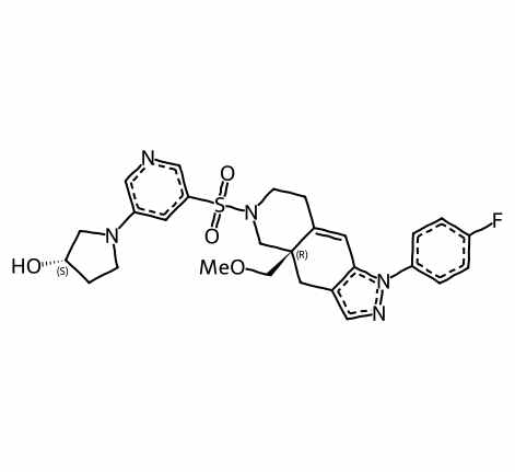 COC[C@]12Cc3cnn(-c4ccc(F)cc4)c3C=C1CCN(S(=O)(=O)c1cncc(N3CC[C@H](O)C3)c1)C2